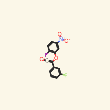 O=C=C(Oc1cc([N+](=O)[O-])ccc1I)c1cccc(F)c1